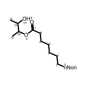 CCCCCCCCCCCCCCCC(=O)OC(C)C(C)O